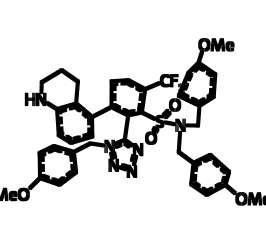 COc1ccc(CN(Cc2ccc(OC)cc2)S(=O)(=O)c2c(C(F)(F)F)ccc(-c3cccc4c3CCCN4)c2-c2nnnn2Cc2ccc(OC)cc2)cc1